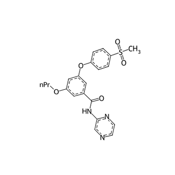 CCCOc1cc(Oc2ccc(S(C)(=O)=O)cc2)cc(C(=O)Nc2cnccn2)c1